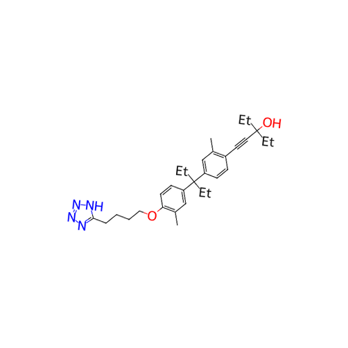 CCC(O)(C#Cc1ccc(C(CC)(CC)c2ccc(OCCCCc3nnn[nH]3)c(C)c2)cc1C)CC